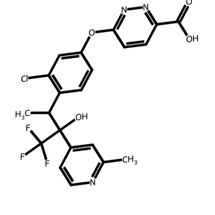 Cc1cc(C(O)(C(C)c2ccc(Oc3ccc(C(=O)O)nn3)cc2Cl)C(F)(F)F)ccn1